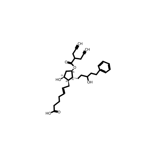 C#CCC(CC#C)C(=O)O[C@@H]1C[C@H](O)[C@H](CC=CCCCC(=O)O)[C@H]1CCC(O)CCc1ccccc1